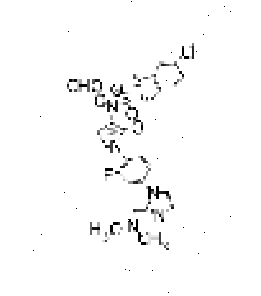 CN(C)Cc1nccn1-c1ccc(N2CC[C@H](N(OC=O)S(=O)(=O)c3cc4ccc(Cl)cc4s3)C2=O)c(F)c1